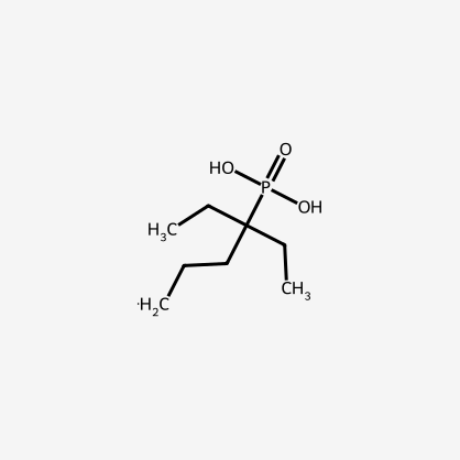 [CH2]CCC(CC)(CC)P(=O)(O)O